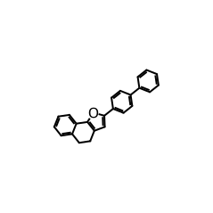 c1ccc(-c2ccc(-c3cc4c(o3)-c3ccccc3CC4)cc2)cc1